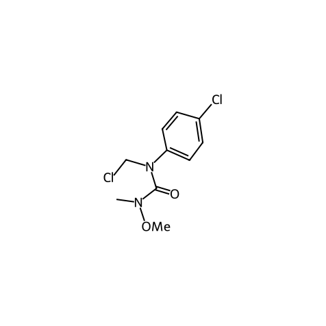 CON(C)C(=O)N(CCl)c1ccc(Cl)cc1